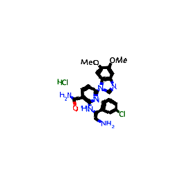 COc1cc2ncn(-c3ccc(C(N)=O)c(NC(CN)c4cccc(Cl)c4)n3)c2cc1OC.Cl